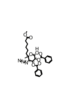 COC(=O)CCCCC[C@]1(C)O[C@H](O)[C@@H](OC(=O)c2ccccc2)[C@@H](OC(=O)c2ccccc2)[C@@H]1N=[N+]=[N-]